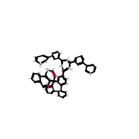 c1cncc(-c2cccc(-c3nc(-c4cccc(-c5cccnc5)c4)nc(-c4ccc5c(c4)C4(c6ccccc6Oc6c4ccc4ccccc64)c4ccccc4-c4ccccc4-5)n3)c2)c1